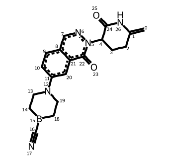 C=C1CCC(n2ncc3ccc(N4CCB(C#N)CC4)cc3c2=O)C(=O)N1